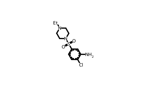 CCN1CCN(S(=O)(=O)c2ccc(Cl)c(N)c2)CC1